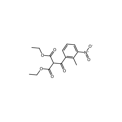 CCOC(=O)C(C(=O)OCC)C(=O)c1cccc([N+](=O)[O-])c1C